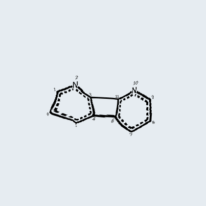 c1cnc2c(c1)-c1cccnc1-2